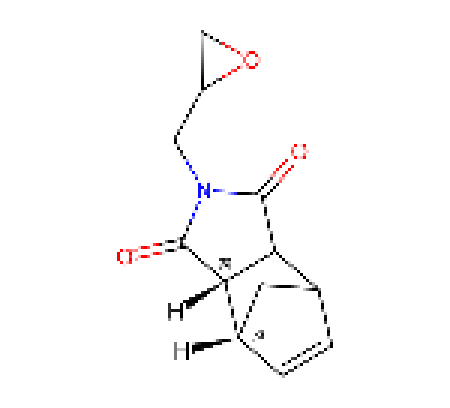 O=C1C2C3C=C[C@@H](C3)[C@@H]2C(=O)N1CC1CO1